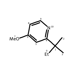 CCC(C)(C)c1cc(OC)ccn1